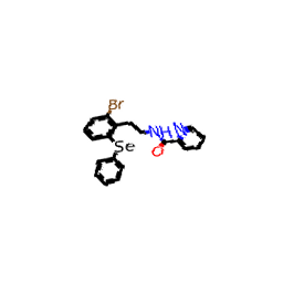 O=C(NCCc1c(Br)cccc1[Se]c1ccccc1)c1ccccn1